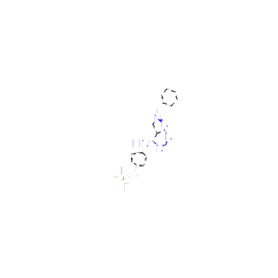 FC(F)(F)Oc1ccc(Nc2ncnc3nn(Cc4c[c]ccc4)cc23)cc1